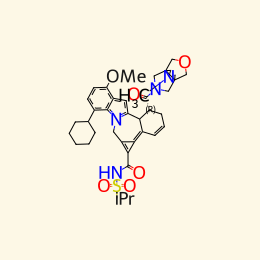 COc1ccc(C2CCCCC2)c2c1cc1n2CC2=C(C(=O)NS(=O)(=O)C(C)C)C2=C2C=CC[C@@H](C(=O)N3CC45COCC4(CN(C)C5)C3)C21